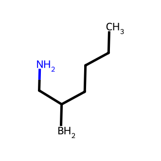 BC(CN)CCCC